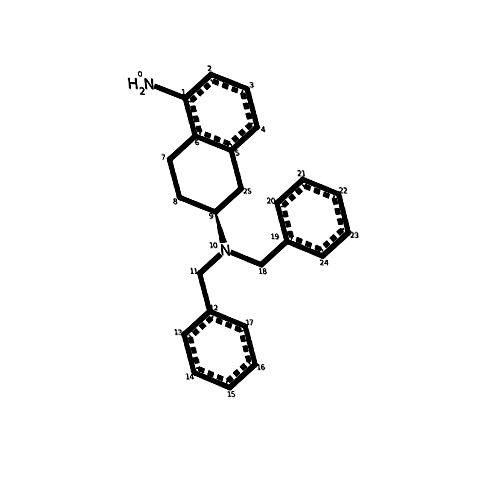 Nc1cccc2c1CC[C@H](N(Cc1ccccc1)Cc1ccccc1)C2